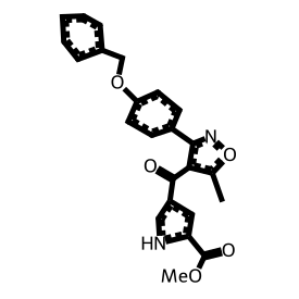 COC(=O)c1cc(C(=O)c2c(-c3ccc(OCc4ccccc4)cc3)noc2C)c[nH]1